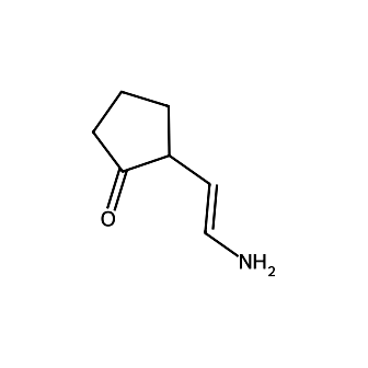 NC=CC1CCCC1=O